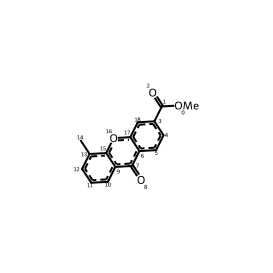 COC(=O)c1ccc2c(=O)c3cccc(C)c3oc2c1